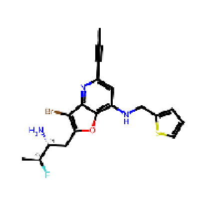 CC#Cc1cc(NCc2cccs2)c2oc(C[C@@H](N)[C@H](C)F)c(Br)c2n1